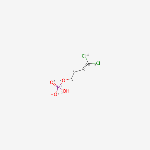 O=P(O)(O)OCCC=C(Cl)Cl